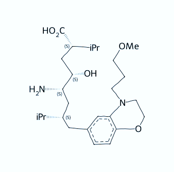 COCCCN1CCOc2ccc(C[C@@H](C[C@H](N)[C@@H](O)C[C@H](C(=O)O)C(C)C)C(C)C)cc21